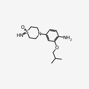 CC(C)COc1cc(N2CCS(=N)(=O)CC2)ccc1N